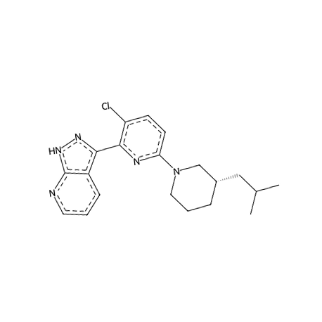 CC(C)C[C@@H]1CCCN(c2ccc(Cl)c(-c3n[nH]c4ncccc34)n2)C1